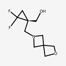 OC[C@]1(CN2CC3(COC3)C2)CC1(F)F